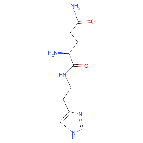 NC(=O)CC[C@H](N)C(=O)NCCc1c[nH]cn1